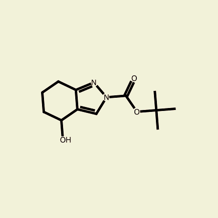 CC(C)(C)OC(=O)n1cc2c(n1)CCCC2O